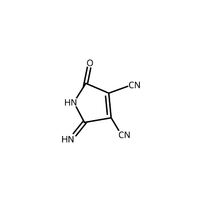 N#CC1=C(C#N)C(=O)NC1=N